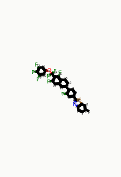 Cc1ccc2nc(-c3ccc(-c4ccc5c(F)c(C(F)(F)Oc6cc(F)c(F)c(F)c6)c(F)cc5c4)c(F)c3)sc2c1